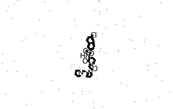 O=C1[C@@H](NS(=O)(=O)c2ccc3cc(Cl)ccc3c2)CCCN1CC(=O)N1CCC[C@H]1CN1CCCCC1